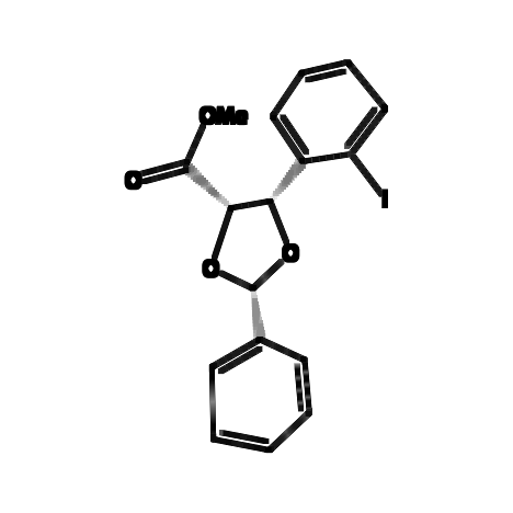 COC(=O)[C@H]1O[C@@H](c2ccccc2)O[C@H]1c1ccccc1I